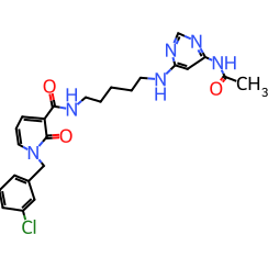 CC(=O)Nc1cc(NCCCCCNC(=O)c2cccn(Cc3cccc(Cl)c3)c2=O)ncn1